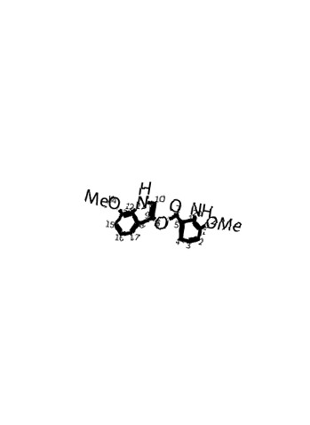 COc1cccc(C(=O)Oc2c[nH]c3c(OC)cccc23)c1N